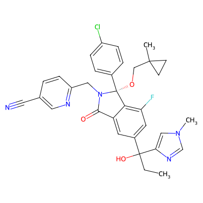 CCC(O)(c1cc(F)c2c(c1)C(=O)N(Cc1ccc(C#N)cn1)[C@@]2(OCC1(C)CC1)c1ccc(Cl)cc1)c1cn(C)cn1